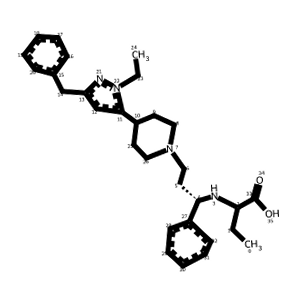 CCC(N[C@@H](CCN1CCC(c2cc(Cc3ccccc3)nn2CC)CC1)c1ccccc1)C(=O)O